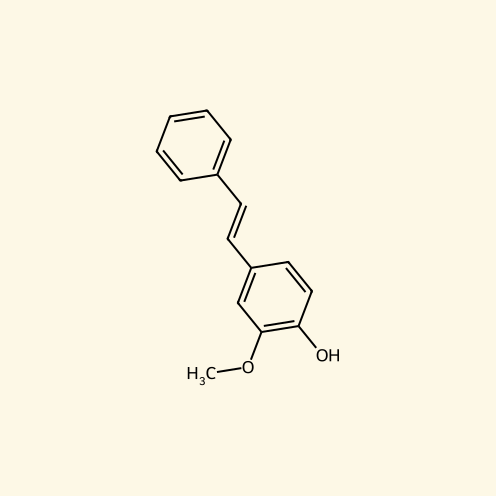 COc1cc(/C=C/c2ccccc2)ccc1O